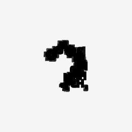 Cc1c(NC(=O)Oc2ncc3cc(Cl)c(C4CCN(C5CCC5OCc5ccccc5)CC4)cc3n2)cnn1C1CC1